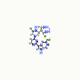 C/C(N)=C(/C=N)C1CN(c2ccnc(C3=CNC4C=NC(C(F)F)=CN34)n2)CC(C)N1